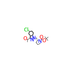 CC(=O)c1nn(C[C@@H]2CCCN2C(=O)OC(C)(C)C)c2ccc(Cl)cc12